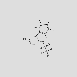 Cc1c(C)c(C)c(-c2ccccc2OS(=O)(=O)C(F)(F)F)c(C)c1C.I